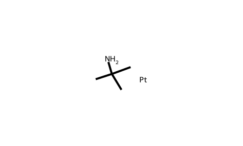 CC(C)(C)N.[Pt]